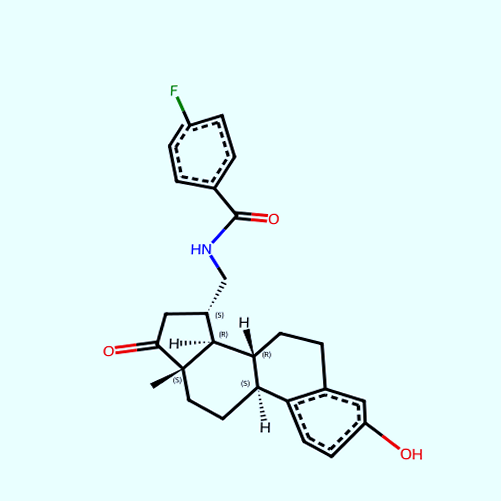 C[C@]12CC[C@@H]3c4ccc(O)cc4CC[C@H]3[C@@H]1[C@@H](CNC(=O)c1ccc(F)cc1)CC2=O